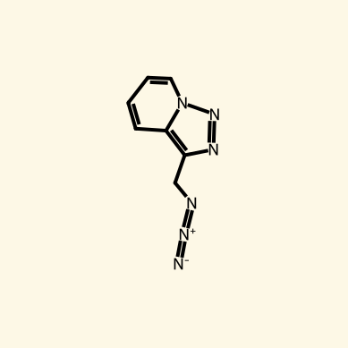 [N-]=[N+]=NCc1nnn2ccccc12